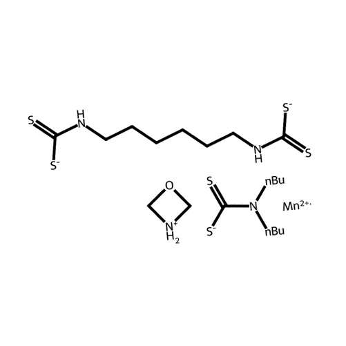 C1[NH2+]CO1.CCCCN(CCCC)C(=S)[S-].S=C([S-])NCCCCCCNC(=S)[S-].[Mn+2]